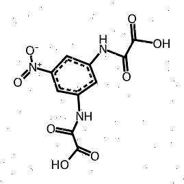 O=C(O)C(=O)Nc1cc(NC(=O)C(=O)O)cc([N+](=O)[O-])c1